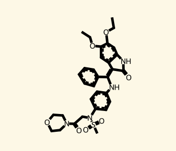 CCOc1cc2c(cc1OCC)/C(=C(/Nc1ccc(N(CC(=O)N3CCOCC3)S(C)(=O)=O)cc1)c1ccccc1)C(=O)N2